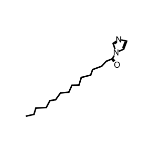 CCCCCCCCCCCCCCCC(=O)n1ccnc1